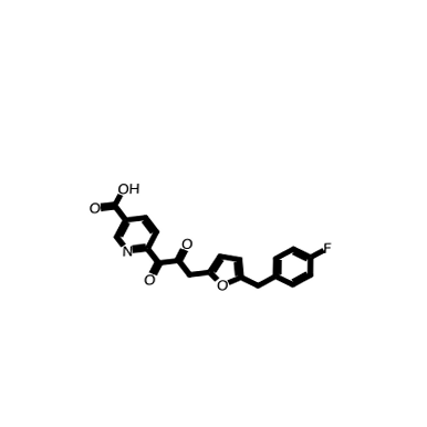 O=C(Cc1ccc(Cc2ccc(F)cc2)o1)C(=O)c1ccc(C(=O)O)cn1